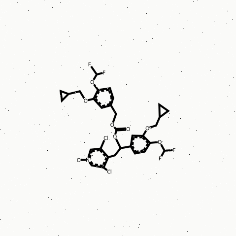 O=C(OCc1ccc(OC(F)F)c(OCC2CC2)c1)OC(Cc1c(Cl)c[n+]([O-])cc1Cl)c1ccc(OC(F)F)c(OCC2CC2)c1